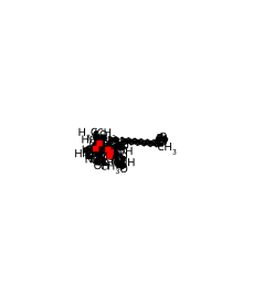 CO[C@H]1C(O[C@H](C(C(=O)O)N(CCCCCCCCCCCC[N+]2(C)CCOCC2)CCCNC(=O)C(NC(=O)C(NC(=O)NC(C(=O)O)C(C)C)C2CCNC(=N)N2)C(O)C(C)C)[C@H]2O[C@@H](n3ccc(=O)[nH]c3=O)[C@H](O)[C@@H]2O)O[C@H](CN)[C@@H]1O